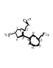 O=CN1CC(F)CC1c1cccc(F)c1